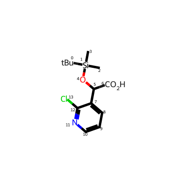 CC(C)(C)[Si](C)(C)OC(C(=O)O)c1cccnc1Cl